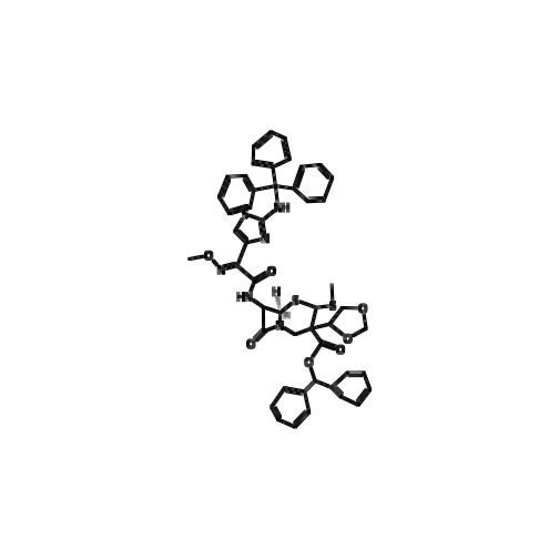 CON=C(C(=O)NC1C(=O)N2CC(C(=O)OC(c3ccccc3)c3ccccc3)(C3COCO3)C(SC)S[C@H]12)c1csc(NC(c2ccccc2)(c2ccccc2)c2ccccc2)n1